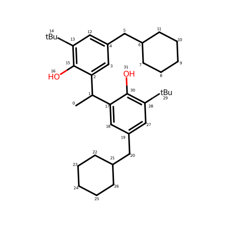 CC(c1cc(CC2CCCCC2)cc(C(C)(C)C)c1O)c1cc(CC2CCCCC2)cc(C(C)(C)C)c1O